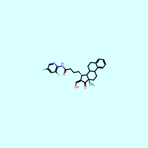 C[C@]12CCC3c4ccccc4CCC3C1[C@H](CCCC(=O)Nc1ncc(F)cc1F)/C(=C/O)C2=O